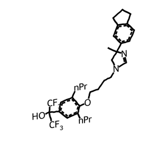 CCCc1cc(C(O)(C(F)(F)F)C(F)(F)F)cc(CCC)c1OCCCCN1C=NC(C)(c2ccc3c(c2)CCC3)C1